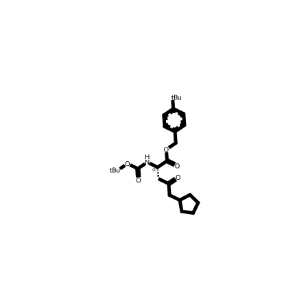 CC(C)(C)OC(=O)N[C@@H](CC(=O)CC1CCCC1)C(=O)OCc1ccc(C(C)(C)C)cc1